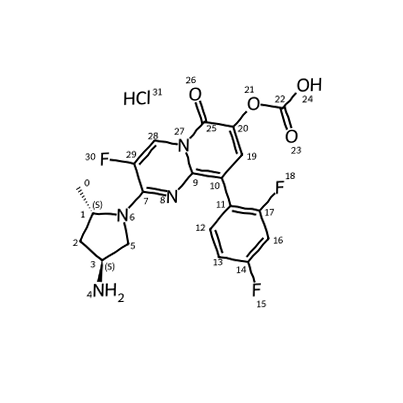 C[C@H]1C[C@H](N)CN1c1nc2c(-c3ccc(F)cc3F)cc(OC(=O)O)c(=O)n2cc1F.Cl